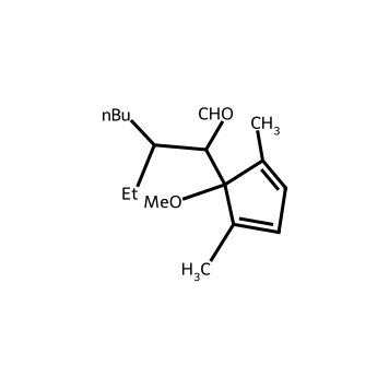 CCCCC(CC)C(C=O)C1(OC)C(C)=CC=C1C